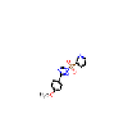 COc1ccc(-c2ncn(S(=O)(=O)c3cccnc3)n2)cc1